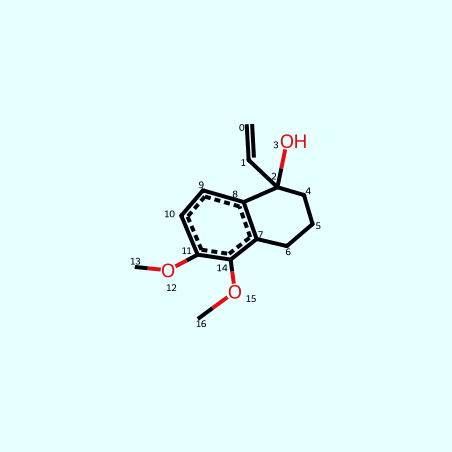 C=CC1(O)CCCc2c1ccc(OC)c2OC